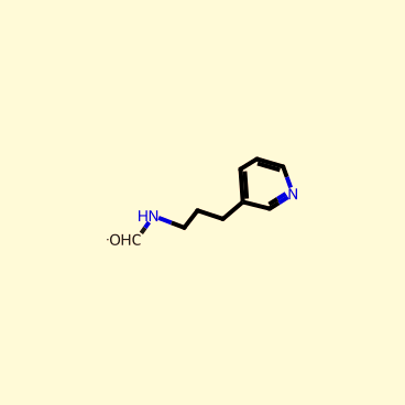 O=[C]NCCCc1cccnc1